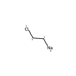 [Na][CH2]CCl